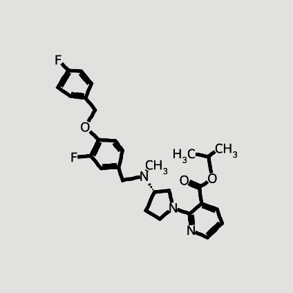 CC(C)OC(=O)c1cccnc1N1CC[C@H](N(C)Cc2ccc(OCc3ccc(F)cc3)c(F)c2)C1